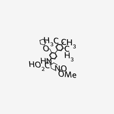 COC(=O)N1CCC(Nc2ccc(-c3cc(C)c(C)c(C)c3)c(COC3CCCC3)c2)(C(=O)O)CC1